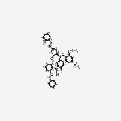 COc1ccc(CN2C(=O)[C@@H](CC(=O)NCc3ccccc3F)O[C@H](c3cccc(OCc4ccccc4)c3OC)c3cc(Cl)ccc32)c(OC)c1